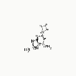 Cc1nc2c(P)cc(N3CCC3)cn2n1